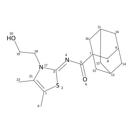 Cc1sc(=NC(=O)C23CC4CC(CC(C4)C2)C3)n(CCO)c1C